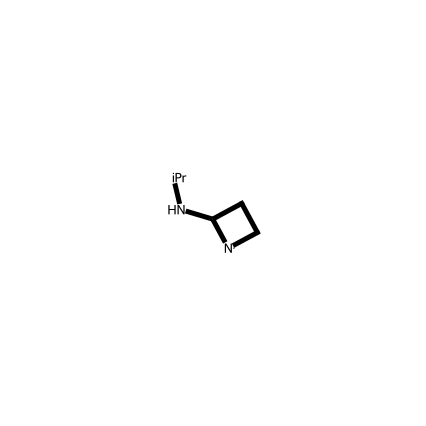 CC(C)NC1CC[N]1